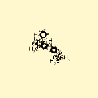 C[C@@H]1C(=O)N(C)c2ccc(Nc3ccc(S(=O)(=O)N(C)C)cc3)nc2N1C1CCCCC1